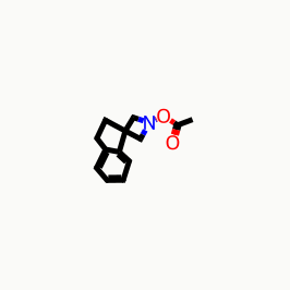 CC(=O)ON1CC2(CCc3ccccc32)C1